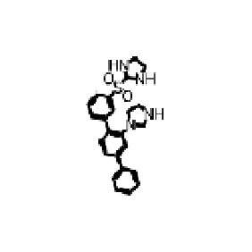 O=S(=O)(c1[c]ccc(-c2ccc(-c3ccccc3)cc2N2CCNC2)c1)C1NCCN1